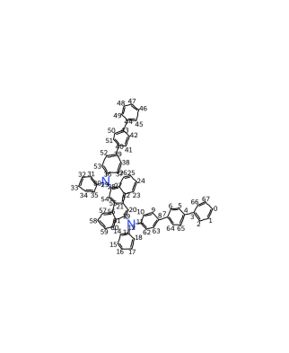 c1ccc(-c2ccc(-c3ccc(N(c4ccccc4)c4cc5c6ccccc6c(N(c6ccccc6)c6ccc(-c7ccc(-c8ccccc8)cc7)cc6)cc5c5ccccc45)cc3)cc2)cc1